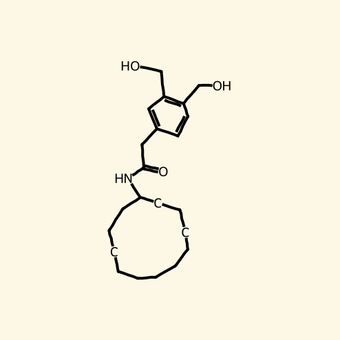 O=C(Cc1ccc(CO)c(CO)c1)NC1CCCCCCCCCCC1